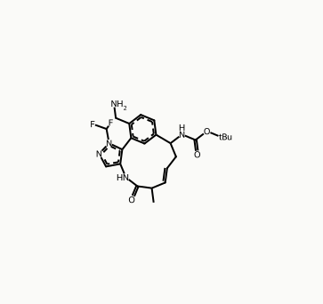 CC1/C=C/CC(NC(=O)OC(C)(C)C)c2ccc(CN)c(c2)-c2c(cnn2C(F)F)NC1=O